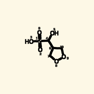 O=S(=O)(O)C(O)C1COOC1